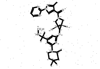 Cc1nn(-c2ncccn2)cc1C(=O)N1C[C@@H]2C(Oc3cc(C(C)(C)NC(=O)O)cc(N4CCC(C)(C)CC4C)n3)[C@@H]2C1